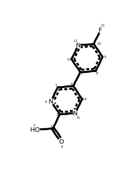 O=C(O)c1ncc(-c2ccc(F)nc2)cn1